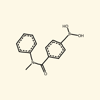 CN(C(=O)c1ccc(B(O)O)cc1)c1ccccc1